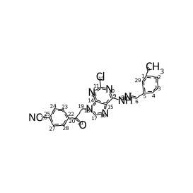 Cc1cccc(/C=N/Nc2nc(Cl)nc3c2ncn3CC(=O)c2ccc(C#N)cc2)c1